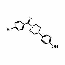 O=C(c1ccc(Br)cc1)N1CCN(c2ccc(O)cc2)CC1